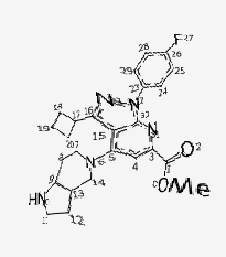 COC(=O)c1cc(N2CCC3NCCC3C2)c2c(C3CCC3)nn(-c3ccc(F)cc3)c2n1